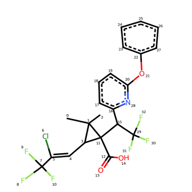 CC1(C)C(/C=C(\Cl)C(F)(F)F)C1(C(=O)O)C(c1cccc(Oc2ccccc2)n1)C(F)(F)F